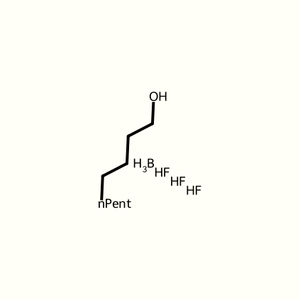 B.CCCCCCCCCO.F.F.F